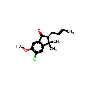 CC=CC[C@@H]1C(=O)c2cc(OC)c(Cl)cc2C1(C)C